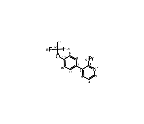 CC(C)c1ncccc1-c1ccc(OC(C)(F)F)cc1